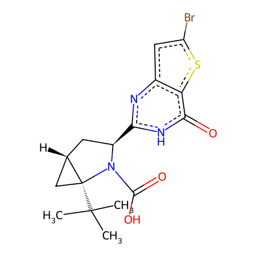 CC(C)(C)[C@]12C[C@@H]1C[C@@H](c1nc3cc(Br)sc3c(=O)[nH]1)N2C(=O)O